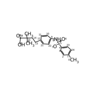 Cc1ccc(S(=O)(=O)Nc2ccc(CCC(C)(C)C(=O)O)cc2)cc1